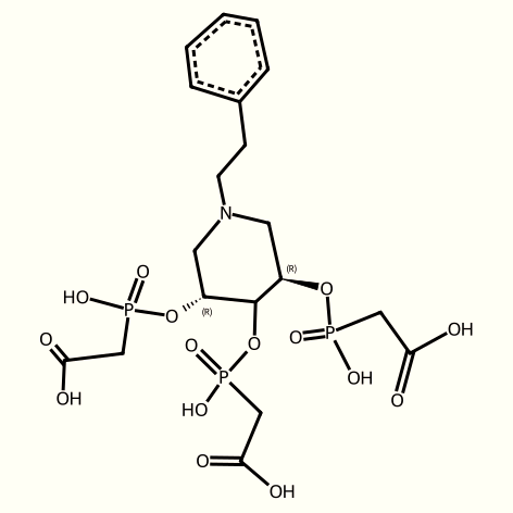 O=C(O)CP(=O)(O)OC1[C@H](OP(=O)(O)CC(=O)O)CN(CCc2ccccc2)C[C@H]1OP(=O)(O)CC(=O)O